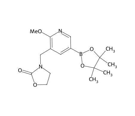 COc1ncc(B2OC(C)(C)C(C)(C)O2)cc1CN1CCOC1=O